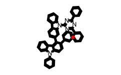 c1ccc(-c2nc(-c3ccccc3)nc(-n3c4ccccc4c4ccc(-c5c(-c6ccccc6)ccc6c5c5ccccc5n6-c5ccccc5)cc43)n2)cc1